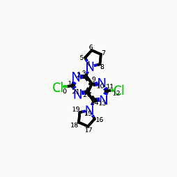 Clc1nc(N2CCCC2)c2nc(Cl)nc(N3CCCC3)c2n1